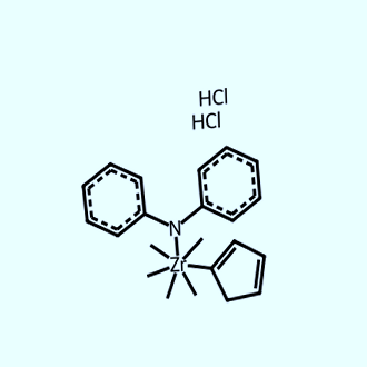 Cl.Cl.[CH3][Zr]([CH3])([CH3])([CH3])([CH3])([C]1=CC=CC1)[N](c1ccccc1)c1ccccc1